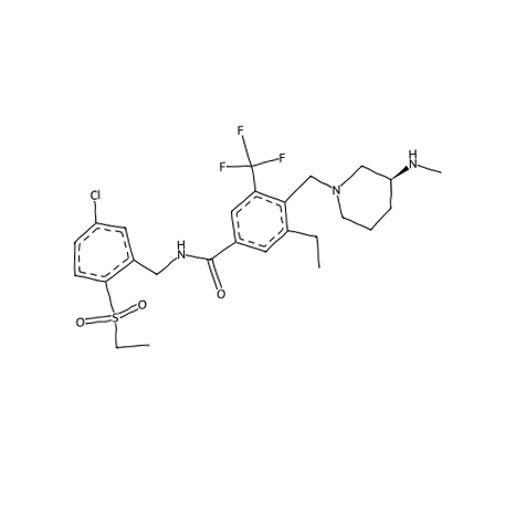 CCc1cc(C(=O)NCc2cc(Cl)ccc2S(=O)(=O)CC)cc(C(F)(F)F)c1CN1CCC[C@H](NC)C1